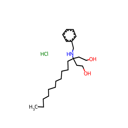 CCCCCCCCCCCC(CCO)(CCO)NCc1ccccc1.Cl